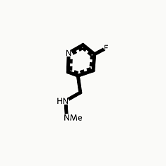 CNNCc1cncc(F)c1